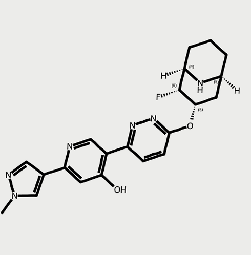 Cn1cc(-c2cc(O)c(-c3ccc(O[C@H]4C[C@@H]5CCC[C@@H](N5)[C@H]4F)nn3)cn2)cn1